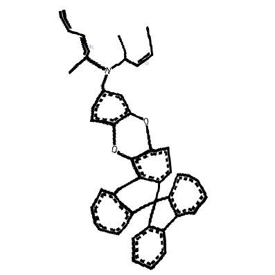 C=C/C=C(\C)N(c1ccc2c(c1)Oc1ccc3c(c1O2)-c1ccccc1C31c2ccccc2-c2ccccc21)C(C)/C=C\C